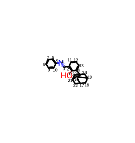 Oc1c(/C=N/c2ccccc2)cccc1C12CC3CC(CC(C3)C1)C2